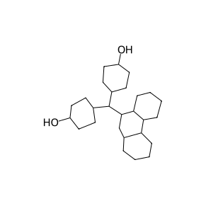 OC1CCC(C(C2CCC(O)CC2)C2CC3CCCCC3C3CCCCC32)CC1